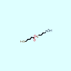 CCCCCCCCCCCCSOC(=O)CCCCS